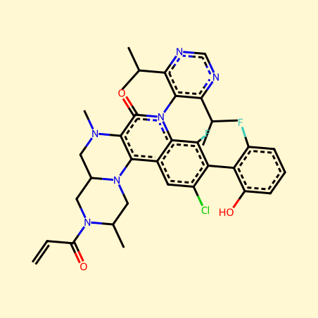 C=CC(=O)N1CC2CN(C)c3c(c4cc(Cl)c(-c5c(O)cccc5F)c(F)c4n(-c4c(C(C)C)ncnc4C(C)C)c3=O)N2CC1C